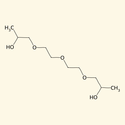 CC(O)COCCOCCOCC(C)O